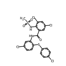 CS(=O)(=O)Nc1c(Cl)cc(Cl)cc1C(=O)Nc1cc(Cl)ccc1Sc1ccc(Cl)cc1